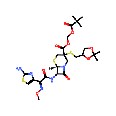 CON=C(C(=O)NC1C(=O)N2CC(SCC3COC(C)(C)O3)(C(=O)OCOC(=O)C(C)(C)C)CS[C@H]12)c1csc(N)n1